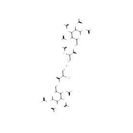 CC(=O)NC(CSSCC(N)C(=O)OCC1OC(OC(C)=O)C(OC(C)=O)C(OC(C)=O)C1OC(C)=O)C(=O)OCC1OC(OC(C)=O)C(OC(C)=O)C(OC(C)=O)C1OC(C)=O